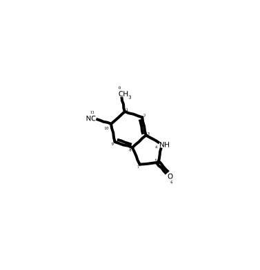 CC1C=C2NC(=O)CC2=CC1C#N